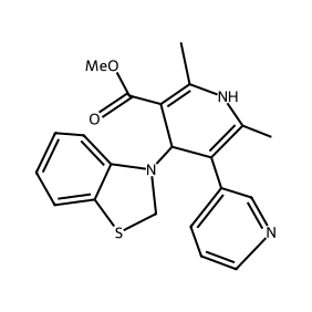 COC(=O)C1=C(C)NC(C)=C(c2cccnc2)C1N1CSc2ccccc21